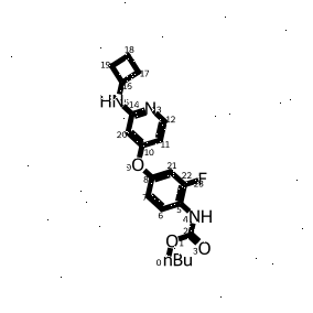 CCCCOC(=O)Nc1ccc(Oc2ccnc(NC3CCC3)c2)cc1F